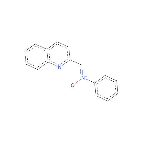 [O-][N+](=Cc1ccc2ccccc2n1)c1ccccc1